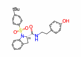 CC(C)(C)c1ccc(S(=O)(=O)N2c3ccccc3C[C@H]2C(=O)NCCc2ccc(O)cc2)cc1